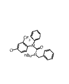 CCCCN(Cc1ccccc1)C(=O)N(c1ccccc1)c1ccc(Cl)cc1C(F)(F)F